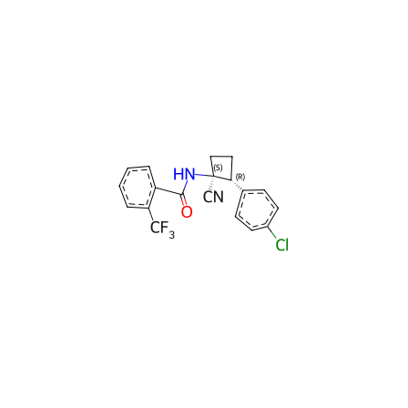 N#C[C@]1(NC(=O)c2ccccc2C(F)(F)F)CC[C@@H]1c1ccc(Cl)cc1